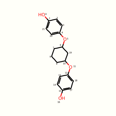 Oc1ccc(OC2CCCC(Oc3ccc(O)cc3)C2)cc1